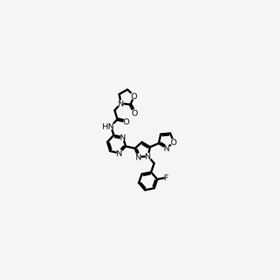 O=C(CN1CCOC1=O)Nc1ccnc(-c2cc(-c3ccon3)n(Cc3ccccc3F)n2)n1